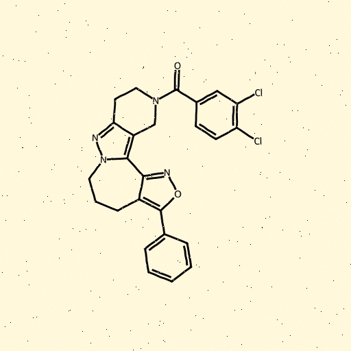 O=C(c1ccc(Cl)c(Cl)c1)N1CCc2nn3c(c2C1)-c1noc(-c2ccccc2)c1CCC3